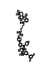 O=C(CN1CCN(c2ccc(C(=O)Nc3n[nH]c4cc(-c5cc(F)cc(F)c5)ccc34)c(NC3CCOCC3)c2)CC1)NCCCCCNc1cccc2c1C(=O)N(C1CCC(=O)NC1=O)C2=O